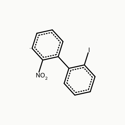 O=[N+]([O-])c1[c]cccc1-c1ccccc1I